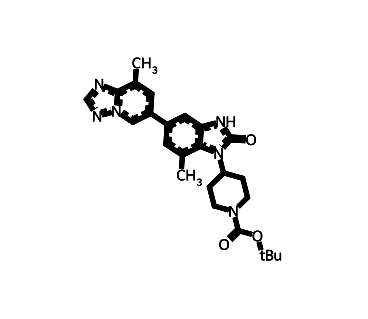 Cc1cc(-c2cc(C)c3ncnn3c2)cc2[nH]c(=O)n(C3CCN(C(=O)OC(C)(C)C)CC3)c12